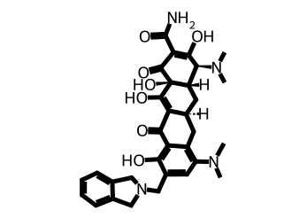 CN(C)c1cc(CN2Cc3ccccc3C2)c(O)c2c1C[C@@H]1C[C@H]3[C@H](N(C)C)C(O)=C(C(N)=O)C(=O)[C@@]3(O)C(O)=C1C2=O